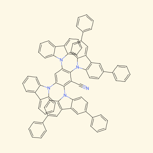 N#Cc1c(-n2c3ccc(-c4ccccc4)cc3c3cc(-c4ccccc4)ccc32)c(-n2c3ccccc3c3ccccc32)cc(-n2c3ccccc3c3ccccc32)c1-n1c2ccc(-c3ccccc3)cc2c2cc(-c3ccccc3)ccc21